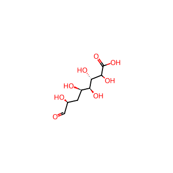 O=C[C@@H](O)C[C@@H](O)[C@H](O)[C@H](O)C(O)C(=O)O